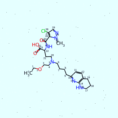 CCOCCN(CCCCc1ccc2c(n1)NCCC2)CCC(NC(=O)c1c(Cl)cnn1C)C(=O)O